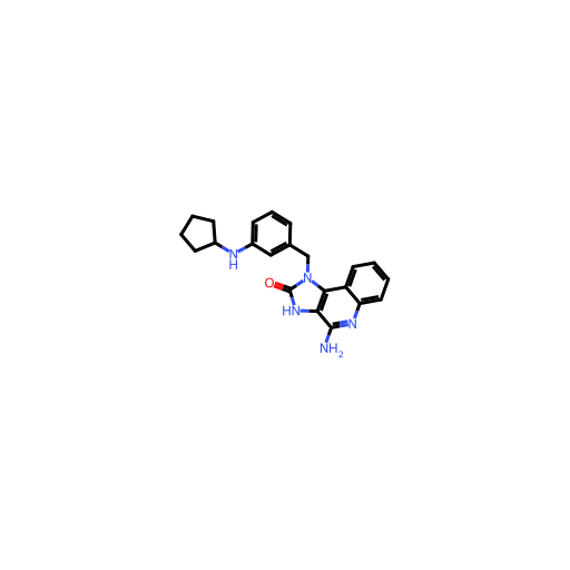 Nc1nc2ccccc2c2c1[nH]c(=O)n2Cc1cccc(NC2CCCC2)c1